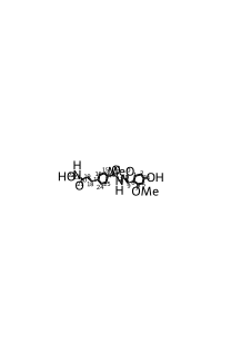 COc1cc(O)cc(OC)c1/C=N/NC(=O)c1ccc(/C=C/C(=O)NO)cc1